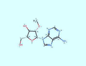 CO[C@H]1C(O)[C@@H](CO)O[C@H]1n1cnc2c(N)ncnc21